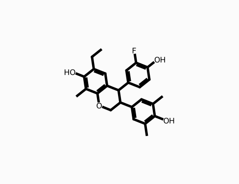 CCc1cc2c(c(C)c1O)OCC(c1cc(C)c(O)c(C)c1)C2c1ccc(O)c(F)c1